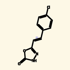 O=c1[nH]nc(/C=C/c2ccc(Cl)cc2)o1